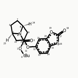 CC(C)(C)OC(=O)N1[C@@H]2CC[C@H]1C[C@@H](Oc1ccc3sc(=O)oc3c1)C2